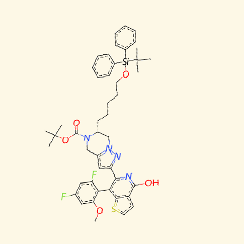 COc1cc(F)cc(F)c1-c1c(-c2cc3n(n2)C[C@@H](CCCCCO[Si](c2ccccc2)(c2ccccc2)C(C)(C)C)N(C(=O)OC(C)(C)C)C3)nc(O)c2ccsc12